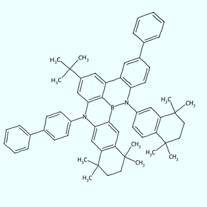 CC(C)(C)c1cc2c3c(c1)N(c1ccc(-c4ccccc4)cc1)c1cc4c(cc1B3N(c1ccc3c(c1)C(C)(C)CCC3(C)C)c1ccc(-c3ccccc3)cc1-2)C(C)(C)CCC4(C)C